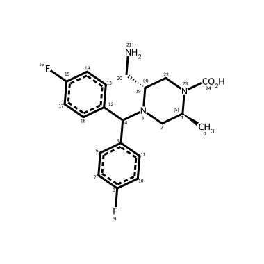 C[C@H]1CN(C(c2ccc(F)cc2)c2ccc(F)cc2)[C@H](CN)CN1C(=O)O